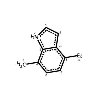 CCc1ccc(C)c2[nH]ccc12